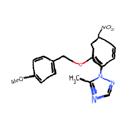 COc1ccc(COC2=C(n3ncnc3C)C=CC([N+](=O)[O-])C2)cc1